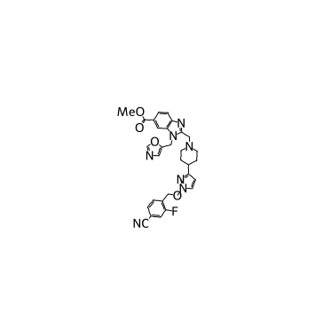 COC(=O)c1ccc2nc(CN3CCC(c4ccn(OCc5ccc(C#N)cc5F)n4)CC3)n(Cc3cnco3)c2c1